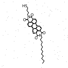 CCCCCCCCCCCCN1C(=O)c2ccc3c4ccc5c6c(ccc(c7ccc(c2c37)C1=O)c64)C(=O)N(CCCCS)C5=O